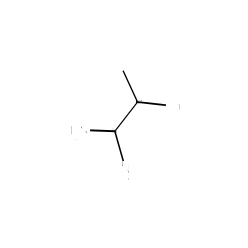 CC(C)C(C)C(N)N